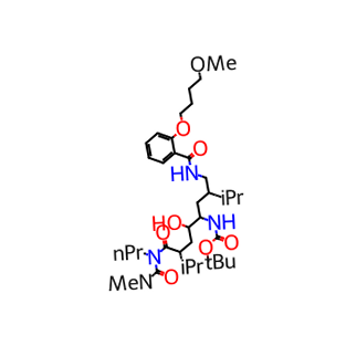 CCCN(C(=O)NC)C(=O)C(CC(O)C(CC(CNC(=O)c1ccccc1OCCCCOC)C(C)C)NC(=O)OC(C)(C)C)C(C)C